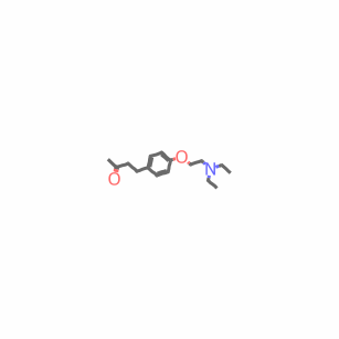 CCN(CC)CCOc1ccc(CCC(C)=O)cc1